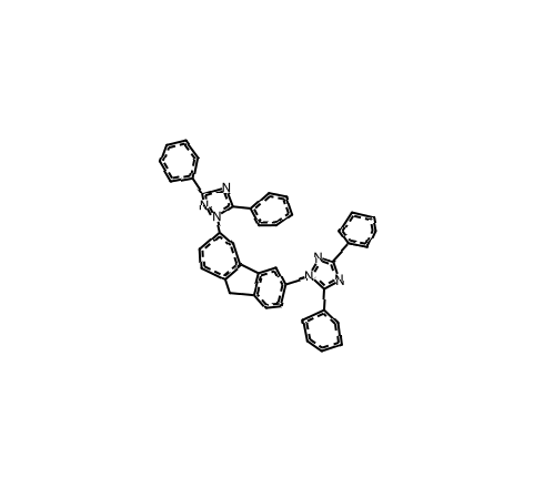 c1ccc(-c2nc(-c3ccccc3)n(-c3ccc4c(c3)-c3cc(-n5nc(-c6ccccc6)nc5-c5ccccc5)ccc3C4)n2)cc1